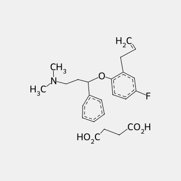 C=CCc1cc(F)ccc1OC(CCN(C)C)c1ccccc1.O=C(O)CCC(=O)O